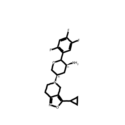 N[C@H]1C[C@@H](N2CCc3noc(C4CC4)c3C2)COC1c1cc(F)c(F)cc1F